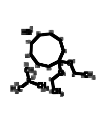 Br.CCOC1(OCC)CCCCCCCC1.CP(C)C